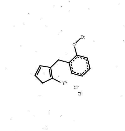 CCOc1ccccc1CC1=[C]([Ti+2])CC=C1.[Cl-].[Cl-]